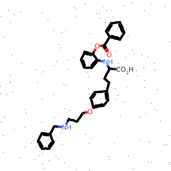 O=C(Oc1ccccc1NC(CCc1ccc(OCCCNCc2ccccc2)cc1)C(=O)O)c1ccccc1